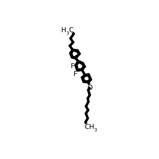 CCCCCCCCCCOc1ccc(-c2ccc(-c3ccc(CCCCC)cc3)c(F)c2F)cc1